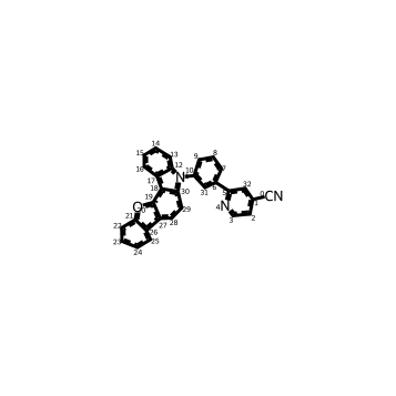 N#Cc1ccnc(-c2cccc(-n3c4ccccc4c4c5oc6ccccc6c5ccc43)c2)c1